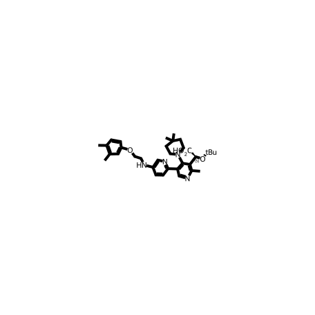 Cc1ccc(OCCNc2ccc(-c3cnc(C)c([C@H](OC(C)(C)C)C(=O)O)c3N3CCC(C)(C)CC3)nc2)cc1C